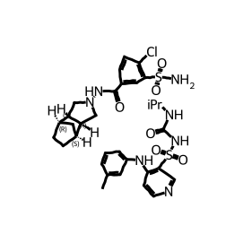 Cc1cccc(Nc2ccncc2S(=O)(=O)NC(=O)NC(C)C)c1.NS(=O)(=O)c1cc(C(=O)NN2C[C@@H]3[C@H]4CC[C@H](C4)[C@@H]3C2)ccc1Cl